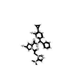 CN(C)c1cnnn1CC(=O)N1CC(F)CC1C(=O)NC(c1ccccc1)c1ccc(C2CC2)c(F)n1